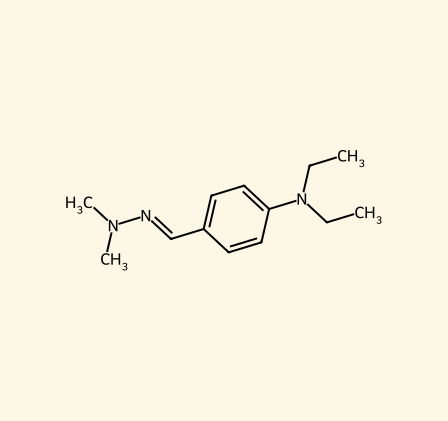 CCN(CC)c1ccc(C=NN(C)C)cc1